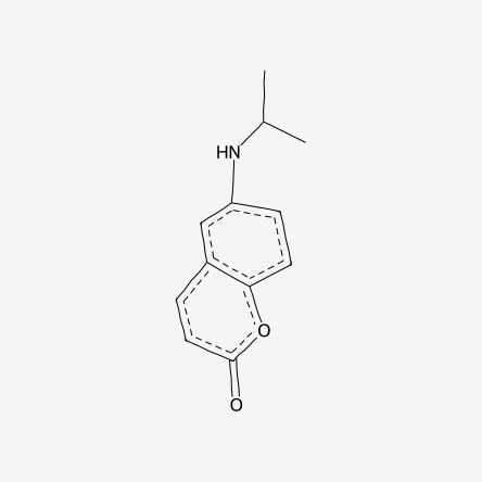 CC(C)Nc1ccc2oc(=O)ccc2c1